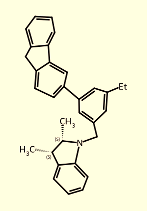 CCc1cc(CN2c3ccccc3[C@H](C)[C@@H]2C)cc(-c2ccc3c(c2)-c2ccccc2C3)c1